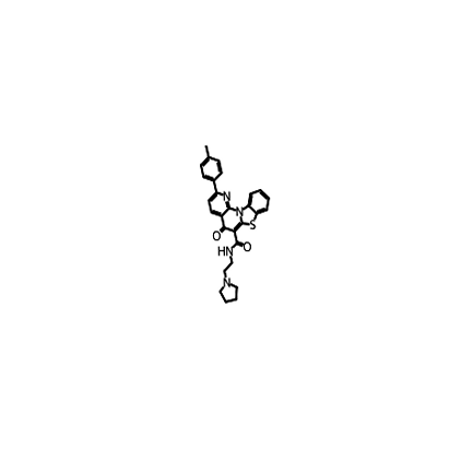 Cc1ccc(-c2ccc3c(=O)c(C(=O)NCCN4CCCC4)c4sc5ccccc5n4c3n2)cc1